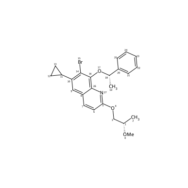 CO[C@@H](C)COc1ccc2cc(C3CC3)c(Br)c(O[C@@H](C)c3ccccc3)c2n1